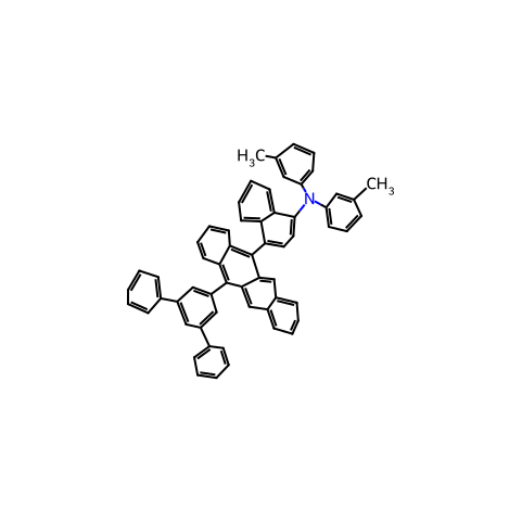 Cc1cccc(N(c2cccc(C)c2)c2ccc(-c3c4ccccc4c(-c4cc(-c5ccccc5)cc(-c5ccccc5)c4)c4cc5ccccc5cc34)c3ccccc23)c1